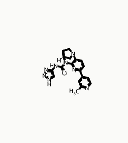 Cc1cc(-c2ccc3c(n2)N(C(=O)Nc2c[nH]nn2)[C@H]2CCN3C2)ccn1